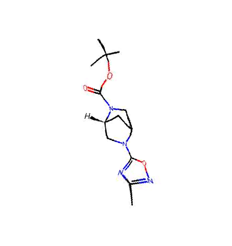 Cc1noc(N2C[C@H]3CC2CN3C(=O)OC(C)(C)C)n1